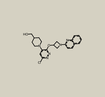 OCC1CCN(c2cc(Cl)nnc2OC2CN(c3ccc4ccccc4n3)C2)CC1